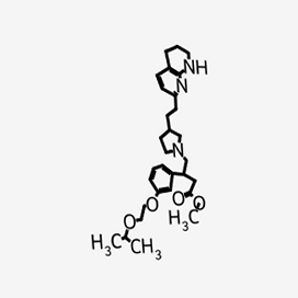 COC(=O)CC(CN1CCC(CCc2ccc3c(n2)NCCC3)C1)c1cccc(OCCOC(C)C)c1